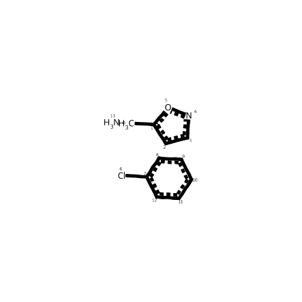 Cc1ccno1.Clc1ccccc1.N